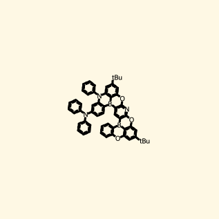 CC(C)(C)c1cc2c3c(c1)Oc1nc4c(cc1B3c1ccccc1O2)B1c2ccc(N(c3ccccc3)c3ccccc3)cc2N(c2ccccc2)c2cc(C(C)(C)C)cc(c21)O4